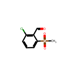 CS(=O)(=O)c1cccc(Cl)c1C=O